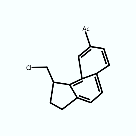 CC(=O)c1ccc2ccc3c(c2c1)C(CCl)CC3